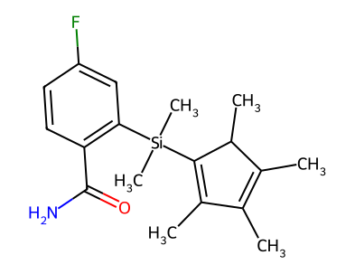 CC1=C(C)C(C)C([Si](C)(C)c2cc(F)ccc2C(N)=O)=C1C